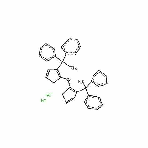 CC(C1=[C]([Zr][C]2=C(C(C)(c3ccccc3)c3ccccc3)C=CC2)CC=C1)(c1ccccc1)c1ccccc1.Cl.Cl